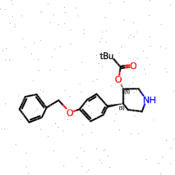 CC(C)(C)C(=O)O[C@@H]1CNCC[C@H]1c1ccc(OCc2ccccc2)cc1